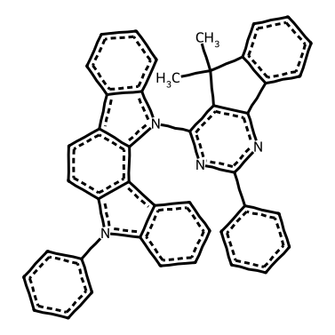 CC1(C)c2ccccc2-c2nc(-c3ccccc3)nc(-n3c4ccccc4c4ccc5c(c6ccccc6n5-c5ccccc5)c43)c21